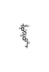 Cc1nc2c(F)cc(-c3nc(Nc4ccc5c(n4)CCN(C(=O)CCN(C)C)C5)ncc3F)cc2n1C(C)(C)C